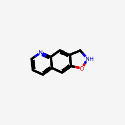 c1cnc2cc3c(cc2c1)ONC3